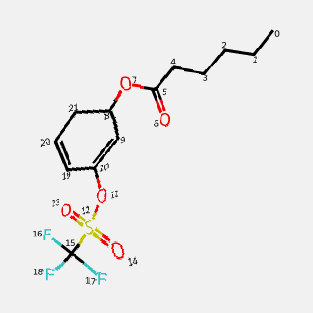 CCCCCC(=O)OC1C=C(OS(=O)(=O)C(F)(F)F)C=CC1